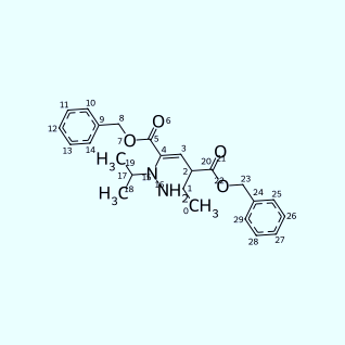 CCC(/C=C(/C(=O)OCc1ccccc1)N(N)C(C)C)C(=O)OCc1ccccc1